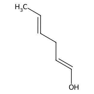 CC=CCC=CO